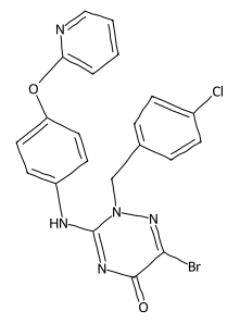 O=c1nc(Nc2ccc(Oc3ccccn3)cc2)n(Cc2ccc(Cl)cc2)nc1Br